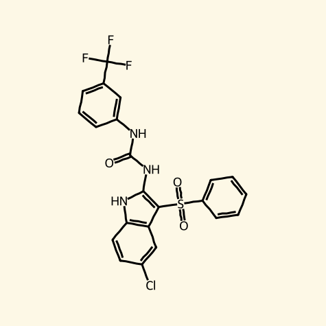 O=C(Nc1cccc(C(F)(F)F)c1)Nc1[nH]c2ccc(Cl)cc2c1S(=O)(=O)c1ccccc1